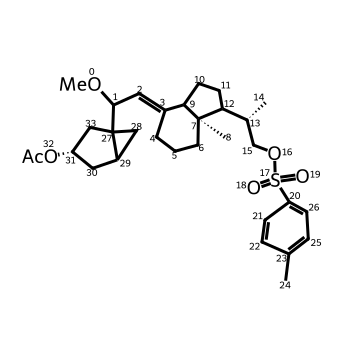 COC(/C=C1\CCC[C@@]2(C)C1CCC2[C@H](C)COS(=O)(=O)c1ccc(C)cc1)C12CC1C[C@H](OC(C)=O)C2